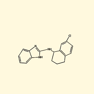 Clc1ccc2c(c1)C(Nc1nc3ccccc3[nH]1)CCC2